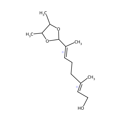 C/C(=C\CO)CC/C=C(\C)C1OC(C)C(C)O1